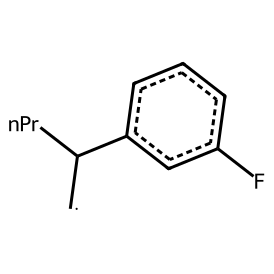 [CH2]C(CCC)c1cccc(F)c1